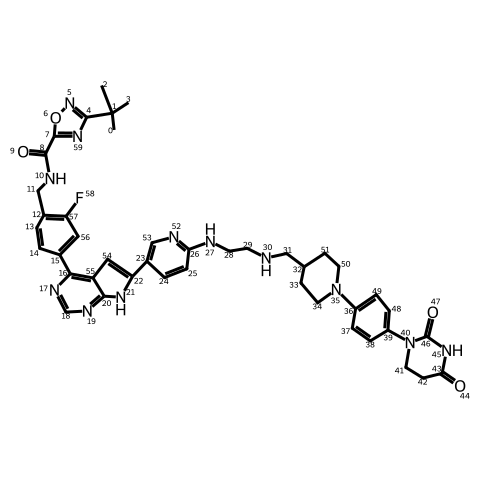 CC(C)(C)c1noc(C(=O)NCc2ccc(-c3ncnc4[nH]c(-c5ccc(NCCNCC6CCN(c7ccc(N8CCC(=O)NC8=O)cc7)CC6)nc5)cc34)cc2F)n1